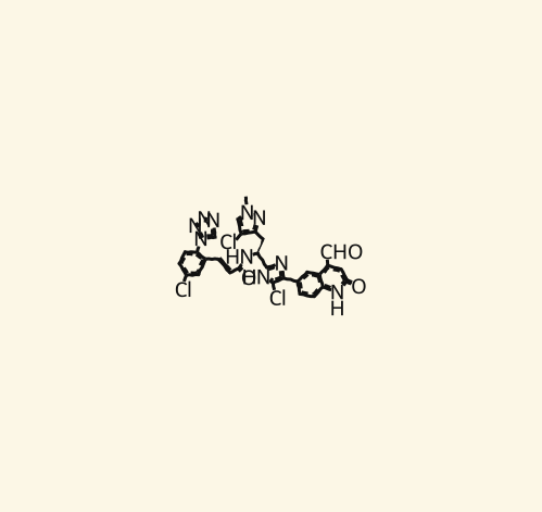 Cn1cc(Cl)c(C[C@H](NC(=O)/C=C/c2cc(Cl)ccc2-n2cnnn2)c2nc(-c3ccc4[nH]c(=O)cc(C=O)c4c3)c(Cl)[nH]2)n1